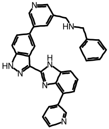 c1ccc(CNCc2cncc(-c3ccc4[nH]nc(-c5nc6c(-c7cccnc7)cccc6[nH]5)c4c3)c2)cc1